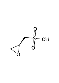 O=S(=O)(O)C[C@@H]1CO1